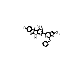 CC1(c2ccc(F)cc2)C(=O)Nc2nc(-c3cn4cc(C(F)(F)F)nc4c(Oc4ccccc4)n3)nc(N)c21